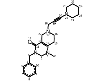 CN1CN(Cc2ccccc2)C(=O)C2=C1CCN(CC#CN1CCCCC1)C2